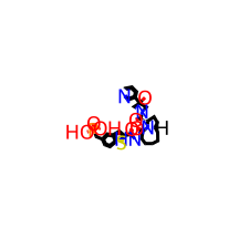 COC1(c2cccnc2)CN(C(=O)[C@@H]2CC[C@@H]3CCCC[C@H](NC(=O)c4cc5cc(CP(=O)(O)O)ccc5s4)C(=O)N32)C1